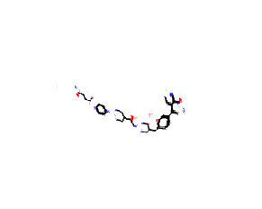 CNC(=O)CCC(C=O)Nc1ccc(N2CCC(C(=O)CN3CCC(Cc4c(F)cc(-c5cn(C)c(=O)c6cnccc56)cc4OC)CC3)CC2)cc1